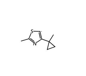 Cc1nc(C2(C)CC2)[c]s1